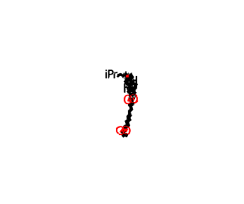 C=C(C)C(=O)OCCCCCCCCCCC(=O)O[C@H]1CC[C@@]2(C)C(=CC[C@H]3[C@@H]4CC[C@H]([C@H](C)CCCC(C)C)[C@@]4(C)CC[C@@H]32)C1